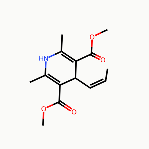 C/C=C\C1C(C(=O)OC)=C(C)NC(C)=C1C(=O)OC